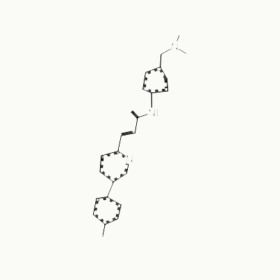 CN(C)Cc1ccc(NC(=O)C=Cc2ccc(-c3ccc(Cl)cc3)cn2)cc1